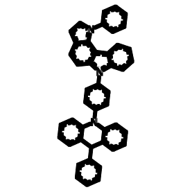 c1ccc(C2c3ccccc3N(c3ccc(-n4c5ccccc5c5c6c(ccc54)ccn6-c4ccccc4)cc3)c3ccccc32)cc1